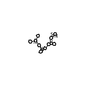 c1ccc(-c2cc(-c3ccccc3)nc(-c3ccc(-n4c5ccccc5c5ccc(-c6ccc7c(c6)c6ccccc6n7-c6ccc7sc8cccnc8c7c6)cc54)cc3)c2)cc1